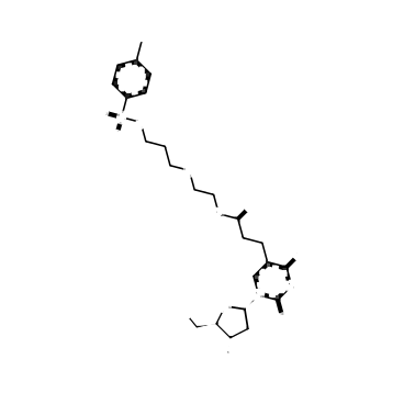 Cc1ccc(S(=O)(=O)SCCCOCCNC(=O)CCc2cn([C@H]3C[C@H](O)[C@@H](CO)O3)c(=O)[nH]c2=O)cc1